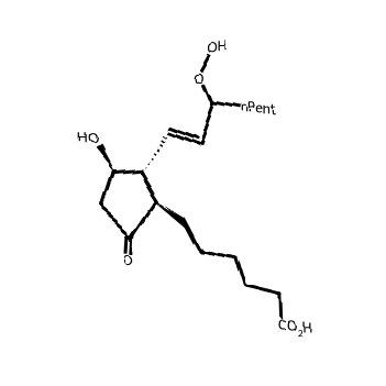 CCCCCC(/C=C/[C@H]1[C@H](O)CC(=O)[C@@H]1CCCCCC(=O)O)OO